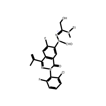 C=C(C)c1nn(-c2c(F)cccc2Cl)c(=O)c2cc(N(C=O)/N=C(/CO)N(C)CC)c(F)cc12